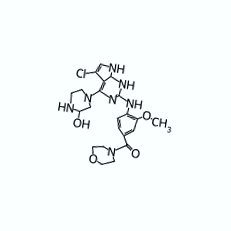 COc1cc(C(=O)N2CCOCC2)ccc1NC1=NC(N2CCNC(O)C2)=C2C(Cl)=CNC2N1